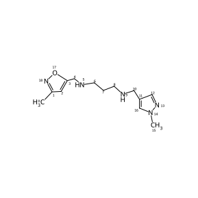 Cc1cc(CNCCCNCc2cnn(C)c2)on1